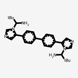 CC(C)(C)C(N)n1cncc1-c1ccc(-c2ccc(-c3cncn3C(N)C(C)(C)C)cc2)cc1